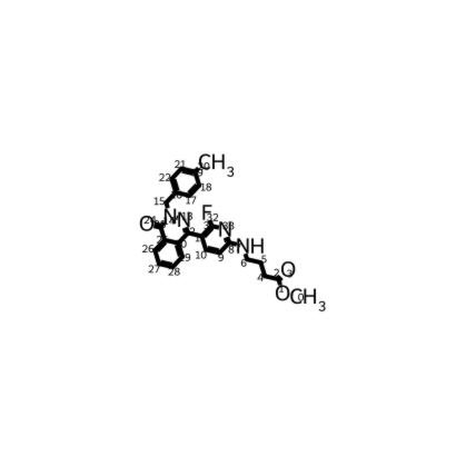 COC(=O)CCCNc1ccc(-c2nn(Cc3ccc(C)cc3)c(=O)c3ccccc23)c(F)n1